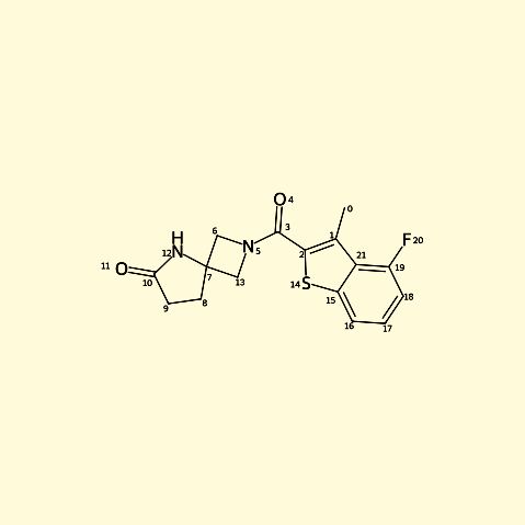 Cc1c(C(=O)N2CC3(CCC(=O)N3)C2)sc2cccc(F)c12